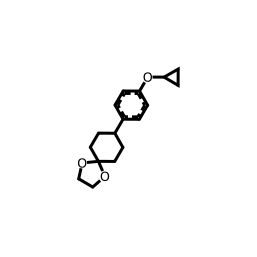 c1cc(C2CCC3(CC2)OCCO3)ccc1OC1CC1